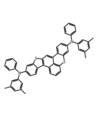 Cc1cc(C)cc(N(c2ccccc2)c2ccc3c(c2)Sc2cccc4c2c-3cc2sc3cc(N(c5ccccc5)c5cc(C)cc(C)c5)ccc3c24)c1